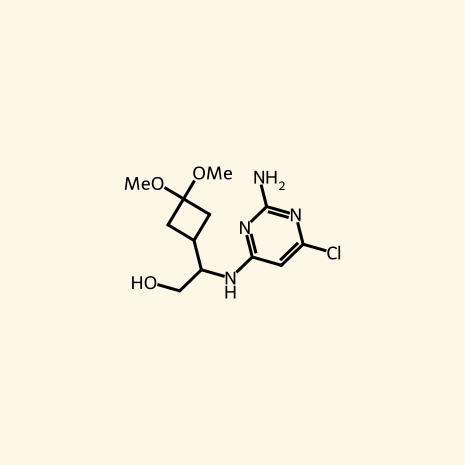 COC1(OC)CC(C(CO)Nc2cc(Cl)nc(N)n2)C1